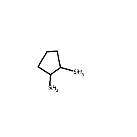 [SiH3]C1CCCC1[SiH3]